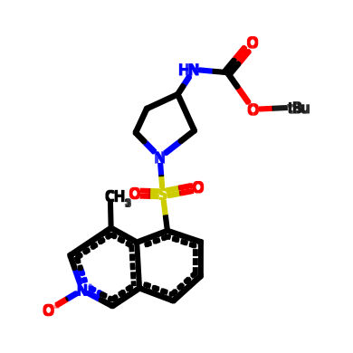 Cc1c[n+]([O-])cc2cccc(S(=O)(=O)N3CCC(NC(=O)OC(C)(C)C)C3)c12